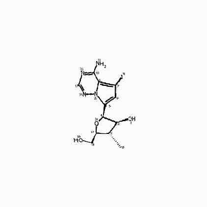 C[C@H]1[C@H](O)[C@H](c2cc(I)c3c(N)ncnn23)O[C@@H]1CO